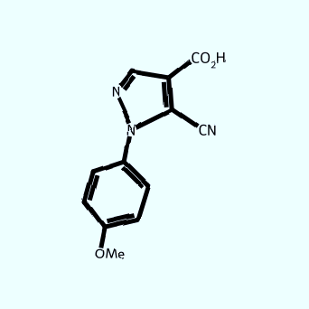 COc1ccc(-n2ncc(C(=O)O)c2C#N)cc1